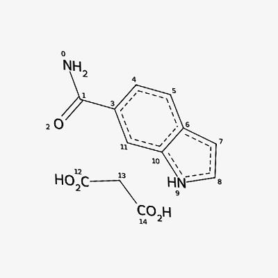 NC(=O)c1ccc2cc[nH]c2c1.O=C(O)CC(=O)O